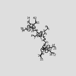 CCC[CH2][Sn]([CH2]CCC)([S]CCC[Si](OCCC)(OCCC)OCCC)[S]CCC[Si](OCCC)(OCCC)OCCC